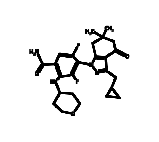 CC1(C)CC(=O)c2c(CC3CC3)nn(-c3c(F)cc(C(N)=O)c(NC4CCOCC4)c3F)c2C1